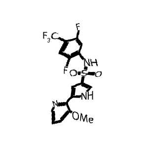 COc1cccnc1-c1cc(S(=O)(=O)Nc2cc(F)c(C(F)(F)F)cc2F)c[nH]1